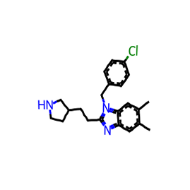 Cc1cc2nc(CCC3CCNC3)n(Cc3ccc(Cl)cc3)c2cc1C